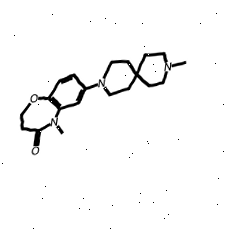 CN1CCC2(CC1)CCN(c1ccc3c(c1)N(C)C(=O)CCO3)CC2